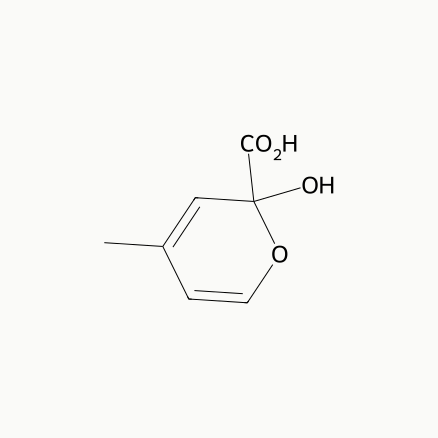 CC1=CC(O)(C(=O)O)OC=C1